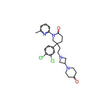 Cc1cccc(N2CC(CCN3CC(N4CCC(=O)CC4)C3)(c3ccc(Cl)c(Cl)c3)CCC2=O)n1